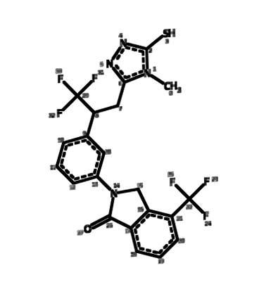 Cn1c(S)nnc1CC(c1cccc(N2Cc3c(cccc3C(F)(F)F)C2=O)c1)C(F)(F)F